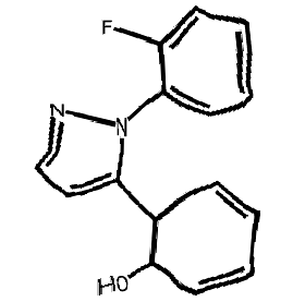 OC1C=CC=CC1c1ccnn1-c1ccccc1F